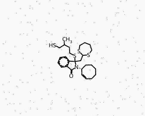 CC(CS)CCSC1(CC2SCCCCS2)c2ccccc2C(=O)N1[C@H]1C=CCCCCC1